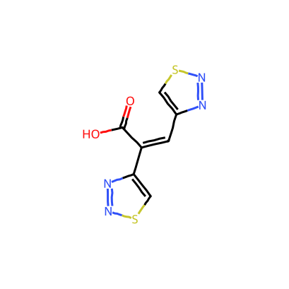 O=C(O)C(=Cc1csnn1)c1csnn1